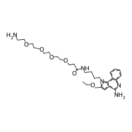 CCOCc1cc2c(N)nc3ccccc3c2n1CCCCNC(=O)CCOCCOCCOCCOCCN